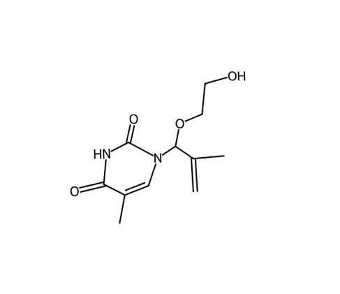 C=C(C)C(OCCO)n1cc(C)c(=O)[nH]c1=O